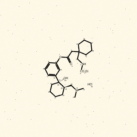 CCOC(=O)NCC1(CC(=O)Oc2cccc([C@]3(O)CCCC[C@@H]3CN(C)C)c2)CCCCC1.Cl